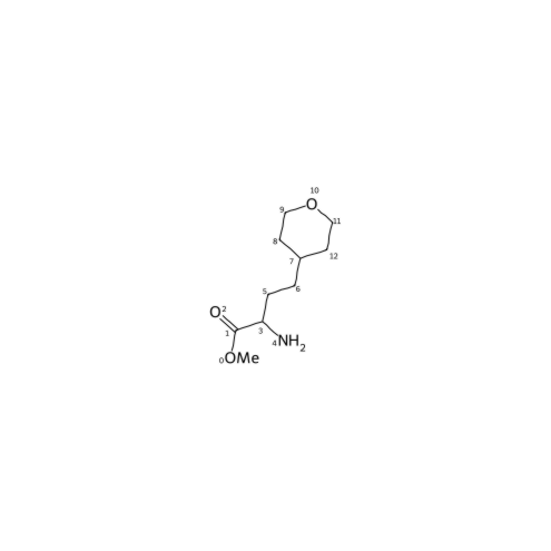 COC(=O)C(N)CCC1CCOCC1